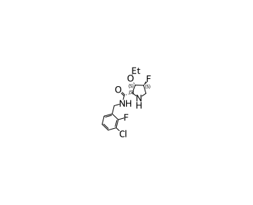 CCO[C@H]1[C@@H](C(=O)NCc2cccc(Cl)c2F)NC[C@@H]1F